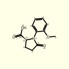 COc1ccccc1N1C(=O)CC[C@H]1C(=O)O